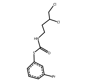 CC(C)c1cccc(SC(=O)NCCC(Cl)CCl)c1